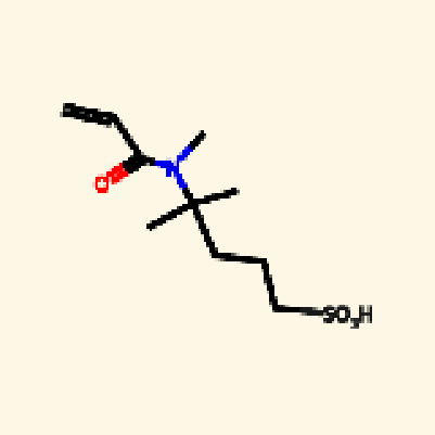 C=CC(=O)N(C)C(C)(C)CCCS(=O)(=O)O